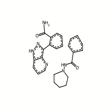 NC(=O)c1ccccc1-c1n[nH]c2cccnc12.O=C(NN1CCCCC1)c1ccccc1